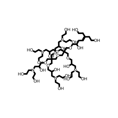 OCCC(=CCC(O)COCC(COCC(O)CN(CCO)CCO)(COCC(O)CN(CCO)CCO)COCC(COCC(O)CN(CCO)CCO)(COCC(O)CN(CCO)CCO)COCC(O)CN(CCO)CCO)CCO